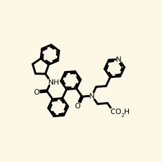 O=C(O)CCN(CCc1ccncc1)C(=O)c1ccccc1-c1ccccc1C(=O)NC1CCc2ccccc21